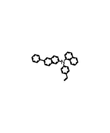 C=Cc1ccc(N(c2ccc3cc(-c4ccccc4)ccc3c2)c2cccc3ccccc23)cc1